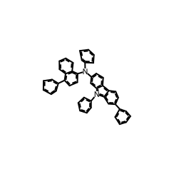 c1ccc(-c2ccc3c4ccc(N(c5ccccc5)c5ccc(-c6ccccc6)c6ccccc56)cc4n(-c4ccccc4)c3c2)cc1